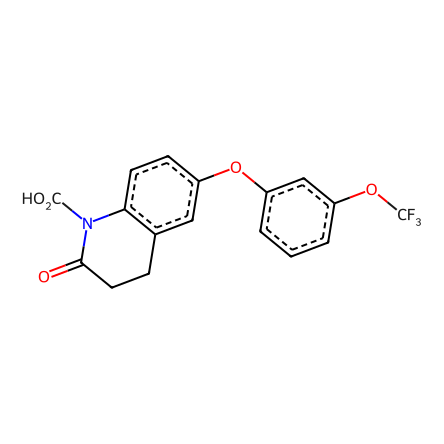 O=C(O)N1C(=O)CCc2cc(Oc3cccc(OC(F)(F)F)c3)ccc21